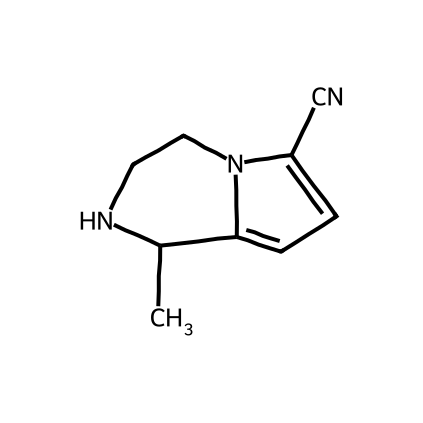 CC1NCCn2c(C#N)ccc21